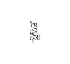 CCC1(CC)C[C@@H](NC(=O)Nc2c(C)ccc3[nH]c(=O)ccc23)c2cccc(F)c2O1